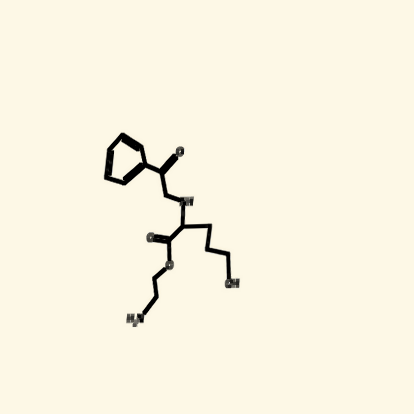 NCCOC(=O)C(CCCO)NCC(=O)c1ccccc1